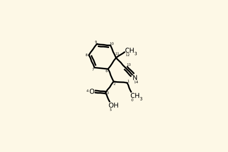 CCC(C(=O)O)C1C=CC=CC1(C)C#N